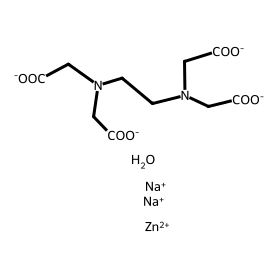 O.O=C([O-])CN(CCN(CC(=O)[O-])CC(=O)[O-])CC(=O)[O-].[Na+].[Na+].[Zn+2]